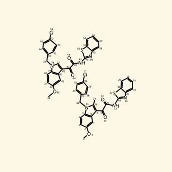 COc1ccc2c(c1)c(C(=O)C(=O)Nc1nc3ccccc3s1)c(C)n2Cc1ccc(Cl)cc1.COc1ccc2c(c1)c(C(=O)C(=O)Nc1nc3ccccc3s1)cn2Cc1ccc(Cl)cc1